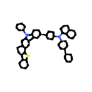 c1ccc(-c2ccc(N(c3ccc(-c4ccc5c(c4)c4cc6c(ccc7c8ccccc8sc67)cc4n5-c4ccccc4)cc3)c3cccc4ccccc34)cc2)cc1